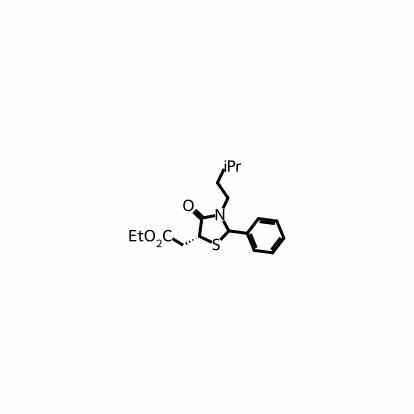 CCOC(=O)C[C@H]1SC(c2ccccc2)N(CCC(C)C)C1=O